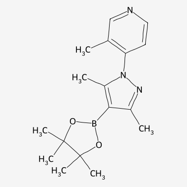 Cc1cnccc1-n1nc(C)c(B2OC(C)(C)C(C)(C)O2)c1C